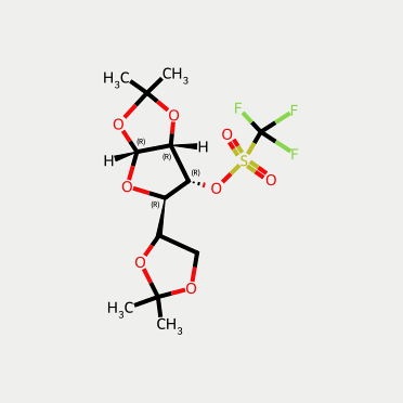 CC1(C)OCC([C@H]2O[C@@H]3OC(C)(C)O[C@@H]3[C@@H]2OS(=O)(=O)C(F)(F)F)O1